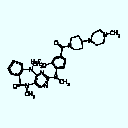 COc1cc(C(=O)N2CCC(N3CCN(C)CC3)CC2)ccc1N(C)c1ncc2c(n1)N(C)c1ccccc1C(=O)N2C